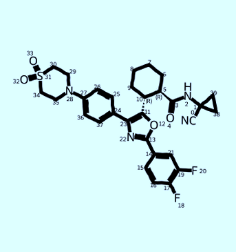 N#CC1(NC(=O)[C@@H]2CCCC[C@H]2c2oc(-c3ccc(F)c(F)c3)nc2-c2ccc(N3CCS(=O)(=O)CC3)cc2)CC1